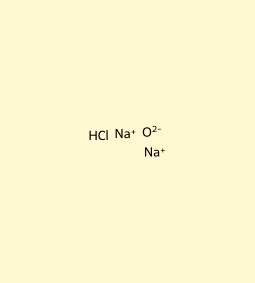 Cl.[Na+].[Na+].[O-2]